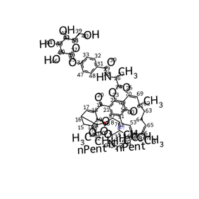 CCCCCN(CCCCC)C(=O)/C(C)=C\CC12OC(C)(C)C3CC(C=C4C(=O)c5c(OC(=O)C(C)NC(=O)c6ccc(O[C@@H]7O[C@H](CO)[C@@H](O)[C@@H](O)[C@H]7O)cc6)c6c(c(CC=C(C)C)c5OC431)OC(C)(CCC=C(C)C)C=C6)C2=O